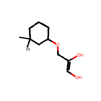 CC(C)C1(C)CCCC(OCC(O)=CO)C1